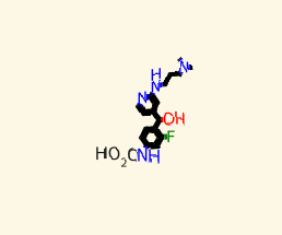 CN(C)CCCNc1cc(C(O)c2ccc(NC(=O)O)cc2F)ccn1